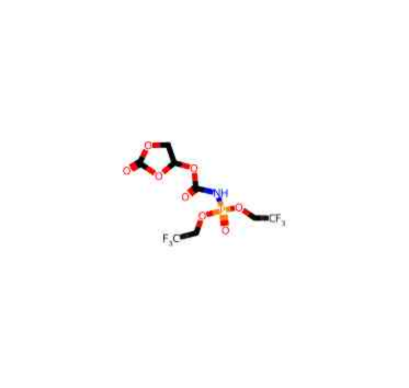 O=C(NP(=O)(OCC(F)(F)F)OCC(F)(F)F)OC1COC(=O)O1